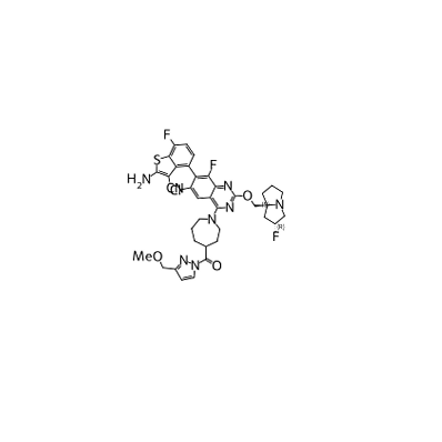 COCc1ccn(C(=O)C2CCCN(c3nc(OC[C@@]45CCCN4C[C@H](F)C5)nc4c(F)c(-c5ccc(F)c6sc(N)c(C#N)c56)c(Cl)cc34)CC2)n1